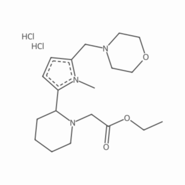 CCOC(=O)CN1CCCCC1c1ccc(CN2CCOCC2)n1C.Cl.Cl